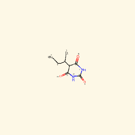 CCC(C)CC(CC)C1C(=O)NC(=O)NC1=O